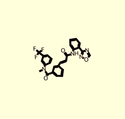 CN(C(=O)c1cccc(/C=C/C(=O)Nc2ccccc2-c2ncon2)c1)c1cccc(C(F)(F)F)c1